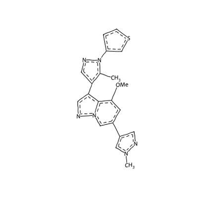 COc1cc(-c2cnn(C)c2)cn2ncc(-c3cnn(-c4ccsc4)c3C)c12